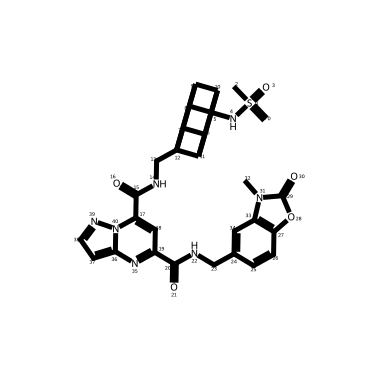 C=S(C)(=O)NC12C3C4C1C1C2C3C41CNC(=O)c1cc(C(=O)NCc2ccc3oc(=O)n(C)c3c2)nc2ccnn12